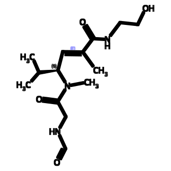 C/C(=C\[C@H](C(C)C)N(C)C(=O)CNC=O)C(=O)NCCO